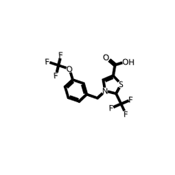 O=C(O)C1=CN(Cc2cccc(OC(F)(F)F)c2)C(C(F)(F)F)S1